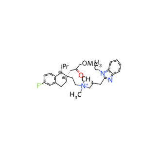 COCC(=O)C[C@]1(CC[N+](C)(C)CCCc2nc3ccccc3n2C)CCc2cc(F)ccc2[C@@H]1C(C)C